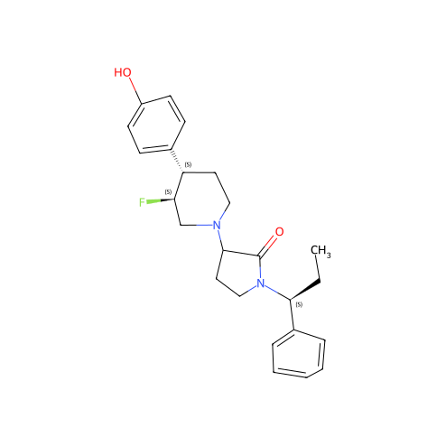 CC[C@@H](c1ccccc1)N1CCC(N2CC[C@@H](c3ccc(O)cc3)[C@H](F)C2)C1=O